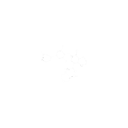 Cc1cc(-c2cc(F)c(Cn3cc(C(=O)N[C@H]4CCOC[C@@H]4O)c4ncccc4c3=O)c(F)c2)ccn1